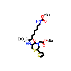 CCOC(=O)[C@@H](CCCCCCCNC(=O)OC(C)(C)C)NC1CSC(c2cccs2)CN(CC(=O)OC(C)(C)C)C1=O